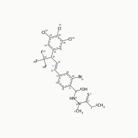 CCC(=S)N(C)NC(O)c1ccc(/C=C/C(c2cc(Cl)c(Cl)c(Cl)c2)C(F)(F)F)cc1Br